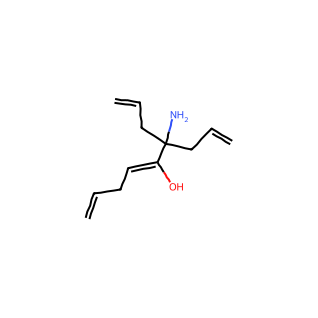 C=CCC=C(O)C(N)(CC=C)CC=C